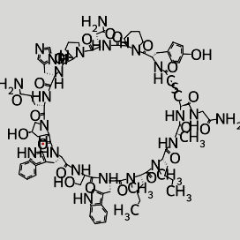 CCCC[C@H]1C(=O)N(C)[C@@H](CCCC)C(=O)N[C@@H](C)C(=O)N[C@H](C(=O)NCC(N)=O)CSCC(=O)N[C@@H](Cc2ccc(O)cc2)C(=O)N2CCCC[C@H]2C(=O)N[C@@H](CC(N)=O)C(=O)N2CCC[C@H]2C(=O)N[C@@H](Cc2cnc[nH]2)C(=O)N[C@@H](CCC(N)=O)C(=O)N2C[C@H](O)C[C@H]2C(=O)N[C@@H](Cc2c[nH]c3ccccc23)C(=O)NC(CO)C(=O)N[C@@H](Cc2c[nH]c3ccccc23)C(=O)N1C